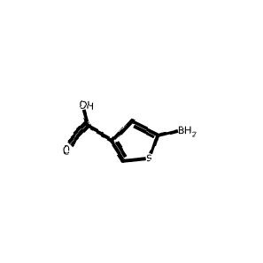 Bc1cc(C(=O)O)cs1